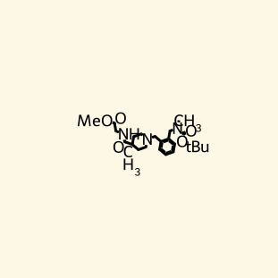 COC(=O)CNC(=O)C1(C)CCN(Cc2ccccc2CN(C)C(=O)OC(C)(C)C)CC1